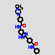 CN1CCN(c2ccc(C(=O)Nc3ccc4[nH]c(-c5ccc(C(=O)Nc6ccccc6)cc5)nc4c3)cc2)CC1